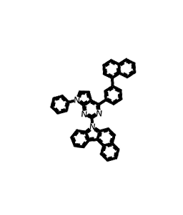 c1ccc(-n2ccc3c(-c4cccc(-c5cccc6ccccc56)c4)nc(-n4c5ccccc5c5c6ccccc6ccc54)nc32)cc1